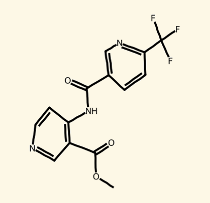 COC(=O)c1cnccc1NC(=O)c1ccc(C(F)(F)F)nc1